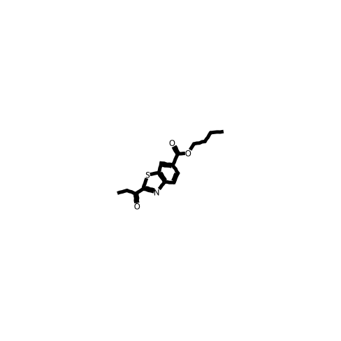 CCCCOC(=O)c1ccc2nc(C(=O)CC)sc2c1